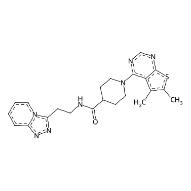 Cc1sc2ncnc(N3CCC(C(=O)NCCc4nnc5ccccn45)CC3)c2c1C